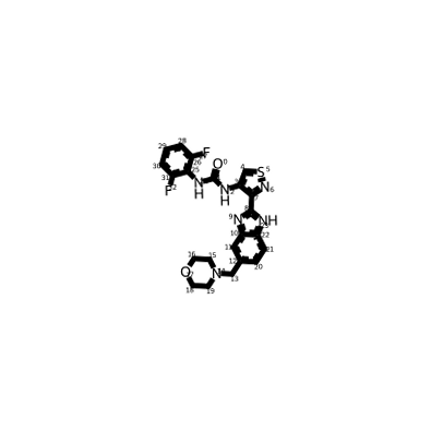 O=C(Nc1csnc1-c1nc2cc(CN3CCOCC3)ccc2[nH]1)Nc1c(F)cccc1F